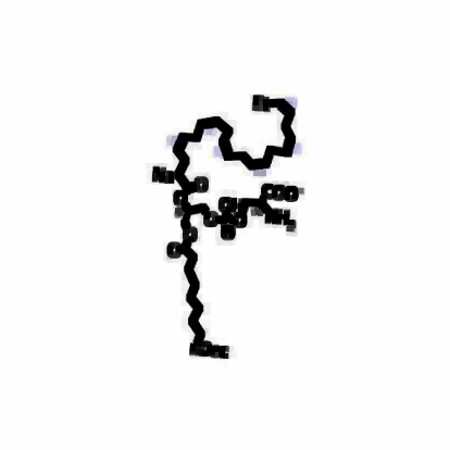 CC/C=C\C/C=C\C/C=C\C/C=C\C/C=C\C/C=C\CCC(=O)O[C@H](COC(=O)CCCCCCCCCCCCCCCCC)COP(=O)(O)OC[C@H](N)C(=O)[O-].[Na+]